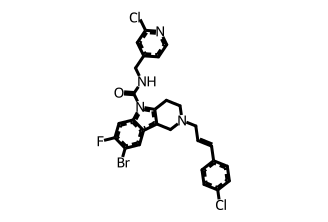 O=C(NCc1ccnc(Cl)c1)n1c2c(c3cc(Br)c(F)cc31)CN(CC=Cc1ccc(Cl)cc1)CC2